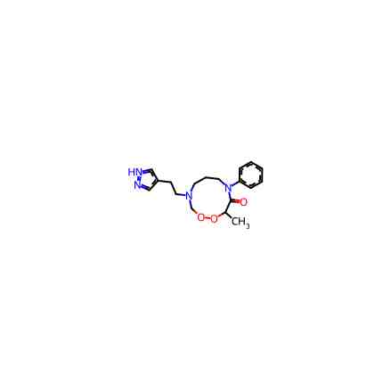 CC1OOCN(CCc2cn[nH]c2)CCCN(c2ccccc2)C1=O